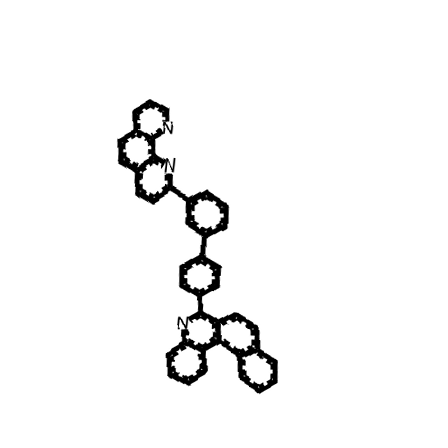 c1cc(-c2ccc(-c3nc4ccccc4c4c3ccc3ccccc34)cc2)cc(-c2ccc3ccc4cccnc4c3n2)c1